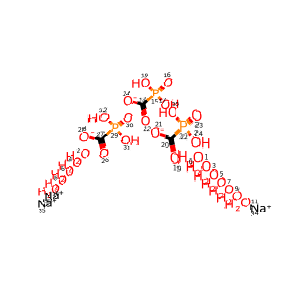 O.O.O.O.O.O.O.O.O.O.O.O.O=C([O-])P(=O)(O)O.O=C([O-])P(=O)(O)O.O=C([O-])P(=O)(O)O.[Na+].[Na+].[Na+]